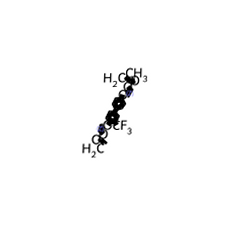 C=CC(=O)O/C=C\Oc1ccc(-c2ccc(O/C=C\OC(=O)C(=C)C)cc2)cc1C(F)(F)F